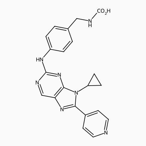 O=C(O)NCc1ccc(Nc2ncc3nc(-c4ccncc4)n(C4CC4)c3n2)cc1